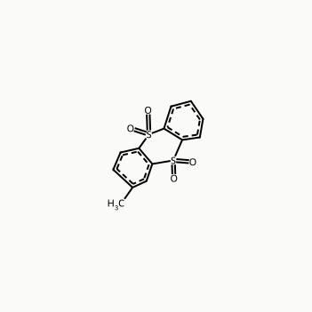 Cc1ccc2c(c1)S(=O)(=O)c1ccccc1S2(=O)=O